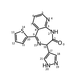 O=C1Nc2ncccc2C(c2cccs2)=NC1c1cn[nH]c1